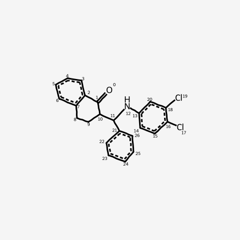 O=C1c2ccccc2CCC1C(Nc1ccc(Cl)c(Cl)c1)c1ccccc1